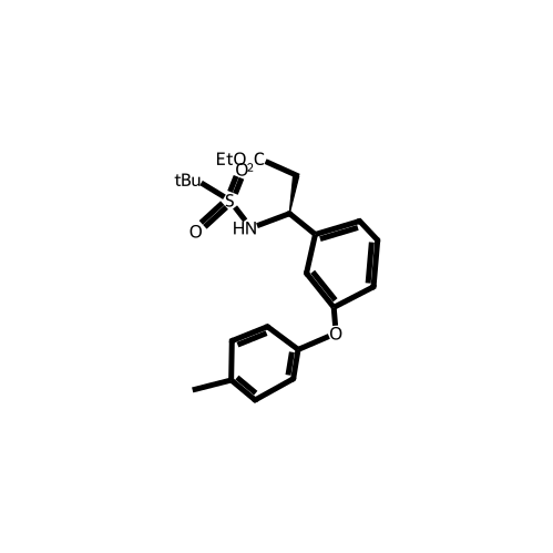 CCOC(=O)C[C@H](NS(=O)(=O)C(C)(C)C)c1cccc(Oc2ccc(C)cc2)c1